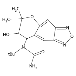 CC1(C)Oc2cc3nonc3cc2C(N(C(N)=O)C(C)(C)C)C1O